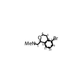 CNCC1OCCc2c(Br)cccc21